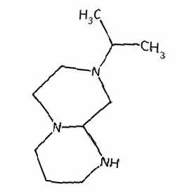 CC(C)N1CCN2CCCNC2C1